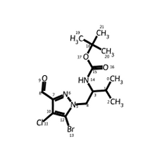 CC(C)C(Cn1nc(C=O)c(Cl)c1Br)NC(=O)OC(C)(C)C